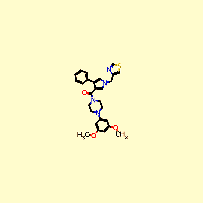 COc1cc(OC)cc(N2CCN(C(=O)c3cn(Cc4cscn4)cc3-c3ccccc3)CC2)c1